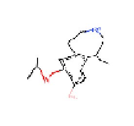 Bc1cc2c(cc1OC(C)C)CCNCC2C